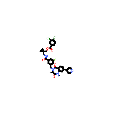 C[C@@H]1C(=O)N(C)c2cc(-c3ccncc3)ccc2C(=O)N1Cc1cc(F)cc(C(=O)NCC2(COC(=O)c3ccc(Cl)c(Cl)c3)CC2)c1